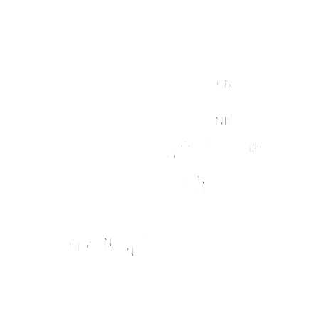 CC(C)CC(NC(=O)c1ccc2nn(C)cc2c1)C(=O)NCC#N